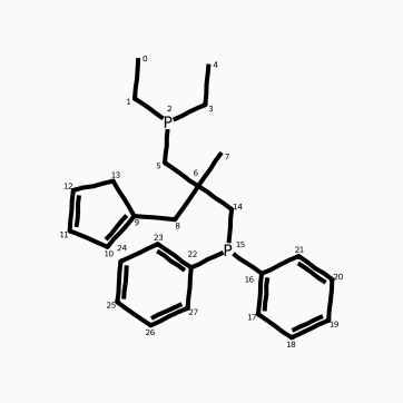 CCP(CC)CC(C)(CC1=CC=CC1)CP(c1ccccc1)c1ccccc1